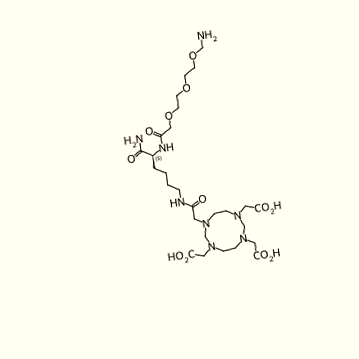 NCOCCOCCOCC(=O)N[C@@H](CCCCNC(=O)CN1CCN(CC(=O)O)CN(CC(=O)O)CCN(CC(=O)O)C1)C(N)=O